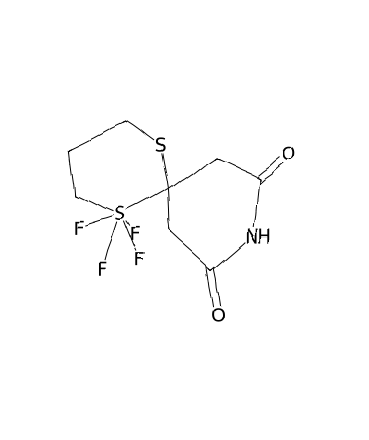 O=C1CC2(CC(=O)N1)SCCCS2(F)(F)(F)F